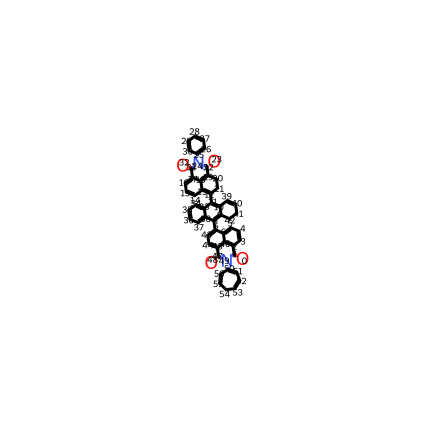 O=C1c2cccc3c(-c4c5c(c(C6=c7cccc8c7=C(CC6)C(=O)N(c6ccccc6)C8=O)c6ccccc46)C=CCC5)ccc(c23)C(=O)N1C1=CC=CCC=C1